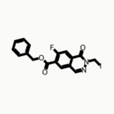 O=C(OCc1ccccc1)c1cc2cnn(CI)c(=O)c2cc1F